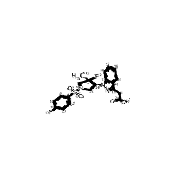 C[C@]1(F)CN(S(=O)(=O)c2ccc(F)cc2)C[C@@H]1n1nc(CC(=O)O)c2ccccc21